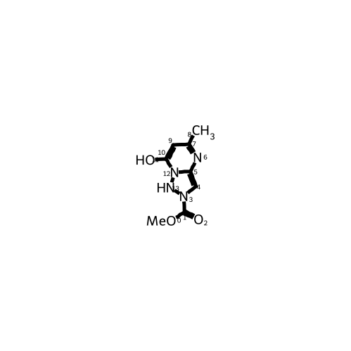 COC(=O)N1C=C2N=C(C)C=C(O)N2N1